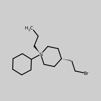 CCC[Si@]1(C2CCCCC2)CC[C@@H](CCBr)CC1